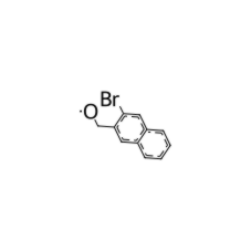 [O]Cc1cc2ccccc2cc1Br